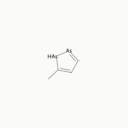 CC1=C[C]=[As][AsH]1